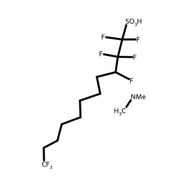 CNC.O=S(=O)(O)C(F)(F)C(F)(F)C(F)CCCCCCCC(F)(F)F